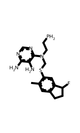 Cc1cc2c(cc1SCN(CCP)c1ncnc(N)c1N)C(F)CC2